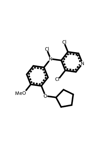 COc1ccc(N(Cl)c2c(Cl)cncc2Cl)cc1OC1CCCC1